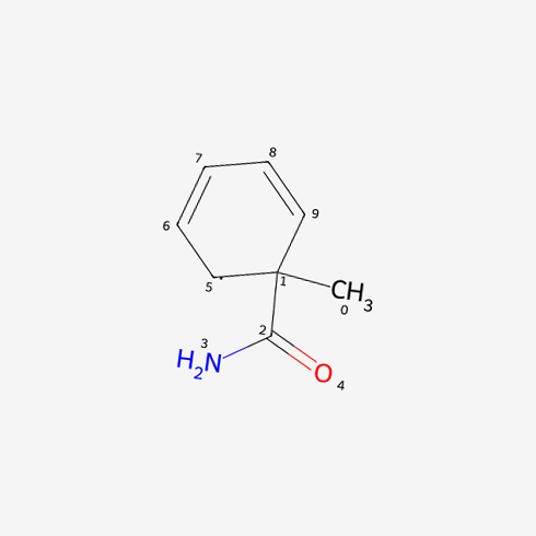 CC1(C(N)=O)[CH]C=CC=C1